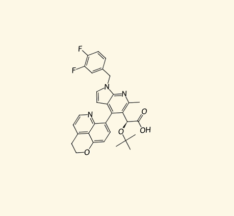 Cc1nc2c(ccn2Cc2ccc(F)c(F)c2)c(-c2ccc3c4c(ccnc24)CCO3)c1[C@H](OC(C)(C)C)C(=O)O